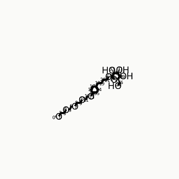 COCCOCCOCCOCCOc1ccc(CCCCO[C@@H]2O[C@H](CO)[C@@H](O)[C@H](O)[C@H]2O)cc1